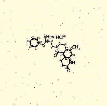 CCCCCCN(CCC1CCc2c(C)cc3c(c2C1=O)CCC(=O)N3)Cc1ccccc1.Cl